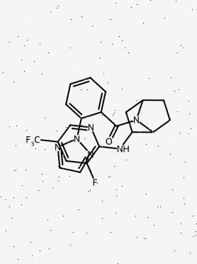 O=C(c1ccccc1-n1nccn1)N1C2CCC1C(Nc1ncc(C(F)(F)F)cc1F)C2